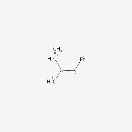 C.CCCC(C)C